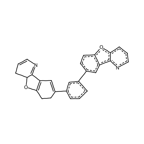 C1=CN=C2C3=C(CCC(c4cccc(-c5ccc6oc7cccnc7c6c5)c4)=C3)OC2C1